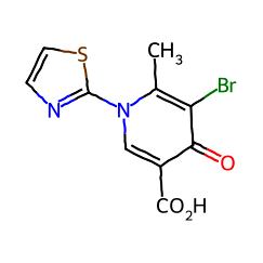 Cc1c(Br)c(=O)c(C(=O)O)cn1-c1nccs1